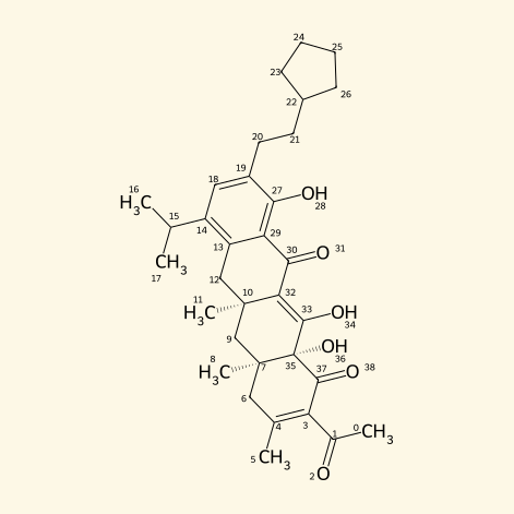 CC(=O)C1=C(C)C[C@@]2(C)C[C@@]3(C)Cc4c(C(C)C)cc(CCC5CCCC5)c(O)c4C(=O)C3=C(O)[C@@]2(O)C1=O